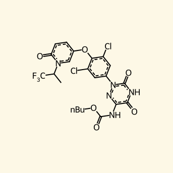 CCCCOC(=O)Nc1nn(-c2cc(Cl)c(Oc3ccc(=O)n(C(C)C(F)(F)F)c3)c(Cl)c2)c(=O)[nH]c1=O